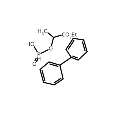 CCOC(=O)C(C)O[PH](=O)O.c1ccc(-c2ccccc2)cc1